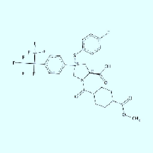 COC(=O)C1CCC(C(=O)N2C[C@@](Sc3ccc(F)cc3)(c3ccc(C(F)(C(F)(F)F)C(F)(F)F)cc3)C[C@H]2C(=O)O)CC1